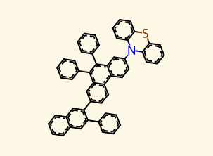 c1ccc(-c2cc3ccccc3cc2-c2ccc3c(c2)c(-c2ccccc2)c(-c2ccccc2)c2cc(N4c5ccccc5Sc5ccccc54)ccc23)cc1